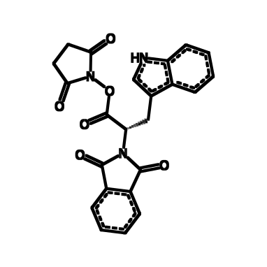 O=C(ON1C(=O)CCC1=O)[C@H](Cc1c[nH]c2ccccc12)N1C(=O)c2ccccc2C1=O